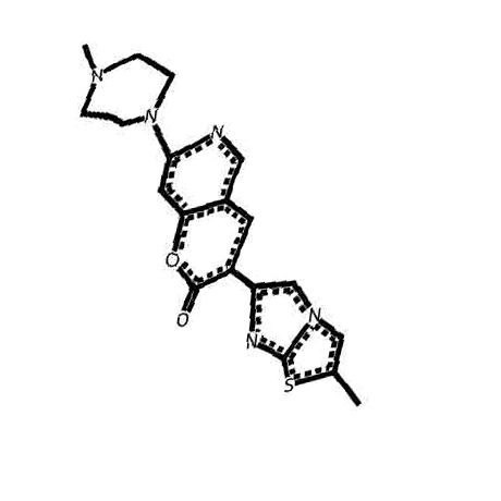 Cc1cn2cc(-c3cc4cnc(N5CCN(C)CC5)cc4oc3=O)nc2s1